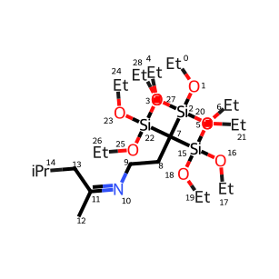 CCO[Si](OCC)(OCC)C(CCN=C(C)CC(C)C)([Si](OCC)(OCC)OCC)[Si](OCC)(OCC)OCC